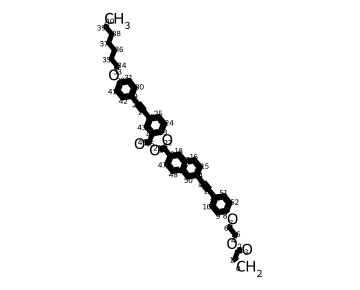 C=CC(=O)OCCOc1ccc(C#Cc2ccc3cc(C(=O)Oc4ccc(C#Cc5ccc(OCCCCCCC)cc5)cc4C=O)ccc3c2)cc1